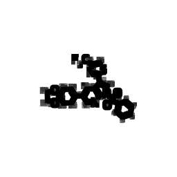 O=S(=O)(c1ccccc1)n1cc(-c2nc(C(F)(F)F)cs2)c2cc(C3=CCC4(CC3)OCCO4)cnc21